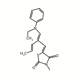 C/C=C/C(/C=C1\SC(=O)N(I)C1=O)=C\N(CC)c1ccccc1